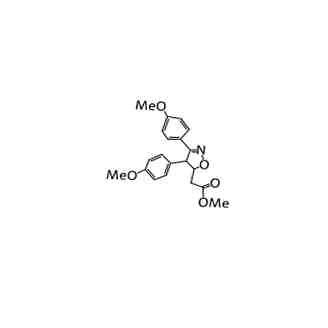 COC(=O)CC1ON=C(c2ccc(OC)cc2)C1c1ccc(OC)cc1